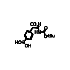 CC(C)(C)OC(=O)N[C@@H](Cc1ccc(B(O)O)cc1)C(=O)O